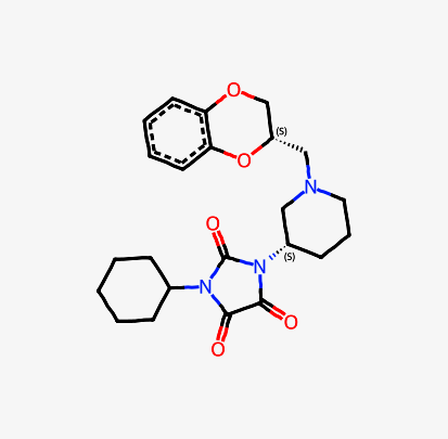 O=C1C(=O)N([C@H]2CCCN(C[C@H]3COc4ccccc4O3)C2)C(=O)N1C1CCCCC1